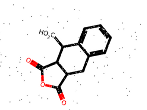 O=C1OC(=O)C2C1Cc1ccccc1C2C(=O)O